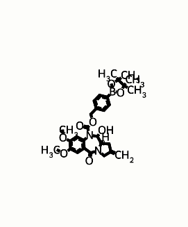 C=C1C[C@H]2C(O)N(C(=O)OCc3ccc(B4OC(C)(C)C(C)(C)O4)cc3)c3cc(OC)c(OC)cc3C(=O)N2C1